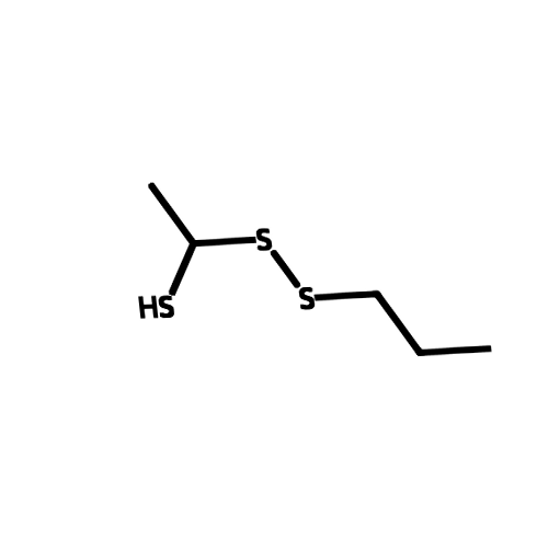 CCCSSC(C)S